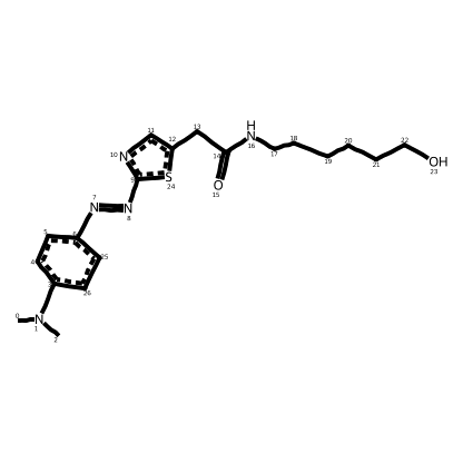 CN(C)c1ccc(N=Nc2ncc(CC(=O)NCCCCCCO)s2)cc1